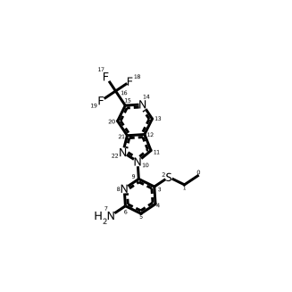 CCSc1ccc(N)nc1-n1cc2cnc(C(F)(F)F)cc2n1